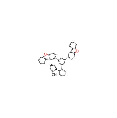 N#Cc1ccccc1-c1ccccc1-c1cc(-c2ccc3oc4ccccc4c3c2)cc(-c2ccc3oc4ccccc4c3c2)c1